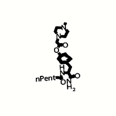 CCCCCC(=O)NC(Cc1ccc(OC(=O)CN2CCN(C)CC2)cc1)C(N)=O